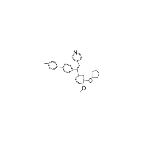 COc1ccc(C(=Cc2ccncc2)c2ccc(-c3ccc(C)cc3)cc2)cc1OC1CCCC1